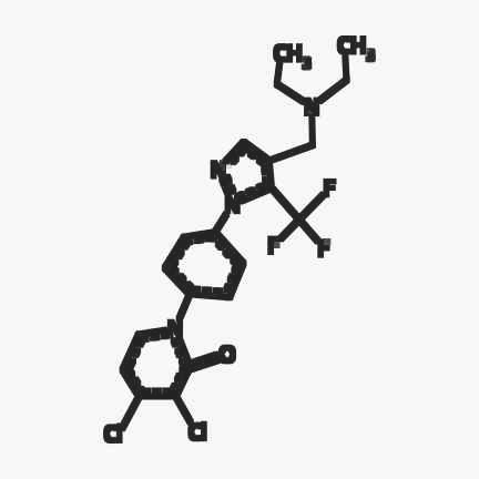 CCN(CC)Cc1cnn(-c2ccc(-n3ccc(Cl)c(Cl)c3=O)cc2)c1C(F)(F)F